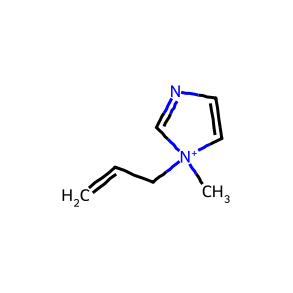 C=CC[N+]1(C)C=CN=C1